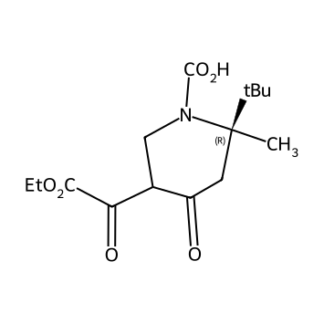 CCOC(=O)C(=O)C1CN(C(=O)O)[C@@](C)(C(C)(C)C)CC1=O